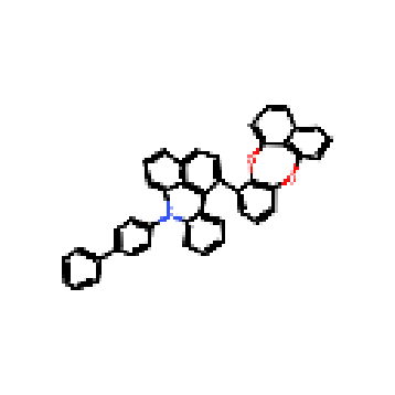 c1ccc(-c2ccc(N(c3ccccc3)c3ccccc3-c3ccccc3-c3cccc4c3Oc3cccc5cccc(c35)O4)cc2)cc1